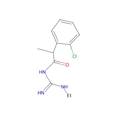 CCNC(=N)NC(=O)C(C)c1ccccc1Cl